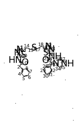 O=C(Cc1ccccc1)Nc1nnc(CCSCCc2nnc(NC(=O)C(c3ccccc3)N3CCNCC3)s2)s1